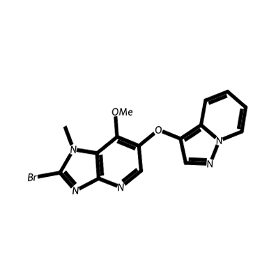 COc1c(Oc2cnn3ccccc23)cnc2nc(Br)n(C)c12